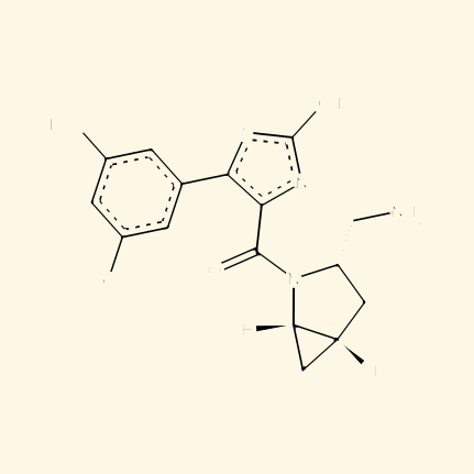 Cc1cc(C)cc(-c2sc(C)nc2C(=O)N2[C@H](CN)C[C@@H]3C[C@@H]32)c1